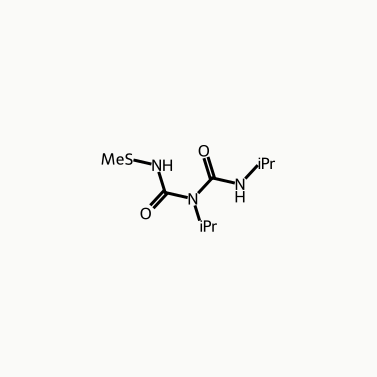 CSNC(=O)N(C(=O)NC(C)C)C(C)C